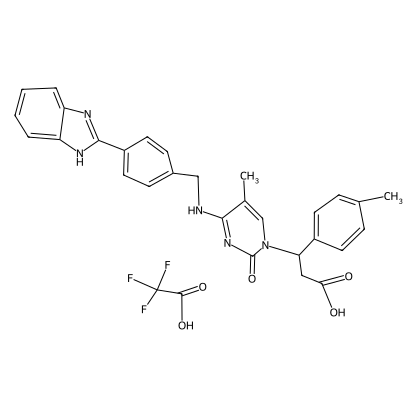 Cc1ccc(C(CC(=O)O)n2cc(C)c(NCc3ccc(-c4nc5ccccc5[nH]4)cc3)nc2=O)cc1.O=C(O)C(F)(F)F